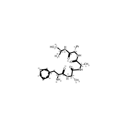 CC(C)[C@H](NC(=O)[C@H](C)NC(=O)[C@H](C)NC(=O)[C@@H](N)Cc1cccnc1)C(=O)N[C@@H](C)C(=O)O